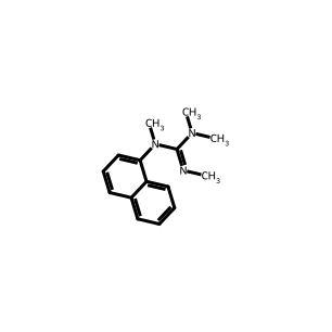 CN=C(N(C)C)N(C)c1cccc2ccccc12